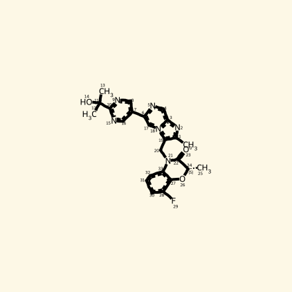 Cc1nc2cnc(-c3cnc(C(C)(C)O)nc3)cn2c1CN1C(=O)[C@H](C)Oc2c(F)cccc21